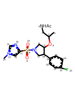 CC(=O)NCC(C)OC1CN(S(=O)(=O)c2cn(C)cn2)CC1c1ccc(F)cc1